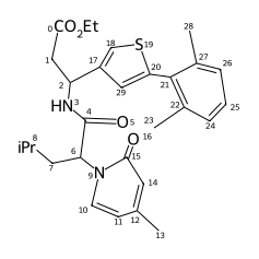 CCOC(=O)CC(NC(=O)C(CC(C)C)n1ccc(C)cc1=O)c1csc(-c2c(C)cccc2C)c1